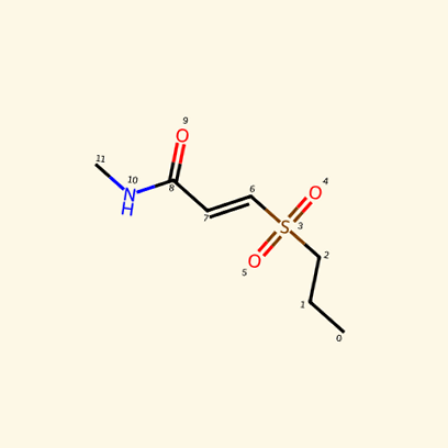 CCCS(=O)(=O)C=CC(=O)NC